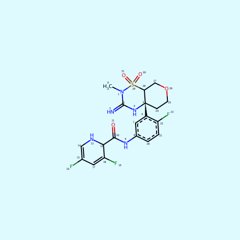 CN1C(=N)N[C@@]2(c3cc(NC(=O)C4NC=C(F)C=C4F)ccc3F)CCOCC2S1(=O)=O